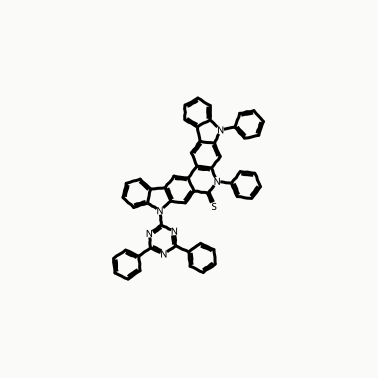 S=c1c2cc3c(cc2c2cc4c5ccccc5n(-c5ccccc5)c4cc2n1-c1ccccc1)c1ccccc1n3-c1nc(-c2ccccc2)nc(-c2ccccc2)n1